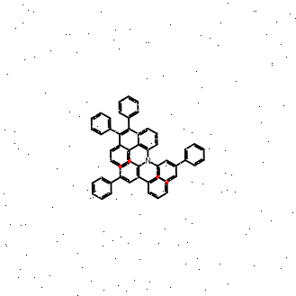 c1ccc(-c2cccc(N(c3ccc(-c4ccccc4)cc3-c3ccccc3)c3cccc4c(-c5ccccc5)c(-c5ccccc5)c5ccccc5c34)c2)cc1